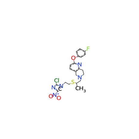 CC(CN1CCc2nc(Oc3ccc(F)cc3)ccc2C1)SCCn1cc([N+](=O)[O-])nc1Cl